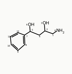 NCC(O)CC(O)c1ccccc1